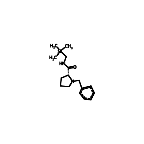 C[Si](C)(C)CNC(=O)[C@H]1CCCN1Cc1ccccc1